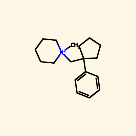 C[N+]1(CC2(c3ccccc3)CCCC2)CCCCC1